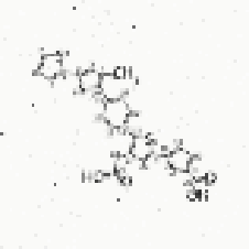 Cc1cc(-c2cccs2)sc1-c1ccc(-c2sc(-c3ccc(C(=O)O)s3)cc2CC(=O)O)cc1